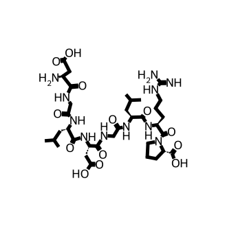 CC(C)C[C@H](NC(=O)CNC(=O)[C@@H](N)CC(=O)O)C(=O)N[C@@H](CC(=O)O)C(=O)NCC(=O)N[C@@H](CC(C)C)C(=O)N[C@@H](CCCNC(=N)N)C(=O)N1CCC[C@H]1C(=O)O